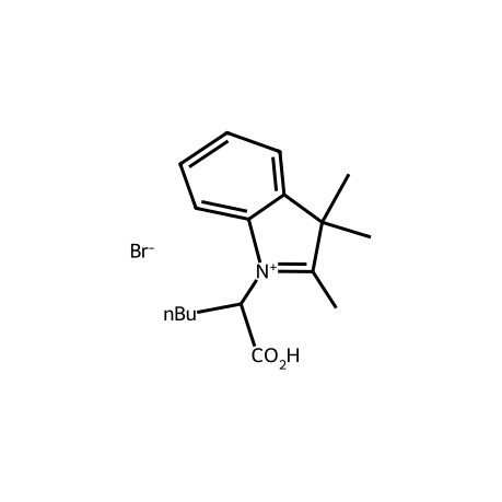 CCCCC(C(=O)O)[N+]1=C(C)C(C)(C)c2ccccc21.[Br-]